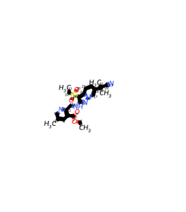 CCOC(=O)c1cc(C)cnc1CNc1nn2cc(C(C)(C)C#N)ccc2c1S(=O)(=O)CC